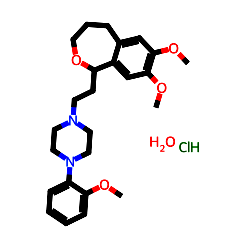 COc1cc2c(cc1OC)C(CCN1CCN(c3ccccc3OC)CC1)OCCC2.Cl.O